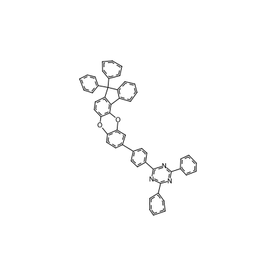 c1ccc(-c2nc(-c3ccccc3)nc(-c3ccc(-c4ccc5c(c4)Oc4c(ccc6c4-c4ccccc4C6(c4ccccc4)c4ccccc4)O5)cc3)n2)cc1